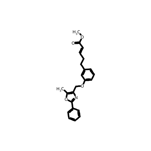 COC(=O)/C=C/CCc1cccc(OCc2nc(-c3ccccc3)oc2C)c1